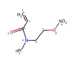 C=CC(=O)N(CCC)CCO[N+](=O)[O-]